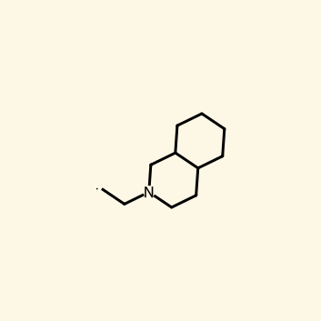 [CH2]CN1CCC2CCCCC2C1